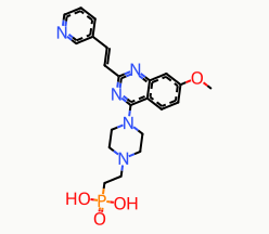 COc1ccc2c(N3CCN(CCP(=O)(O)O)CC3)nc(/C=C/c3cccnc3)nc2c1